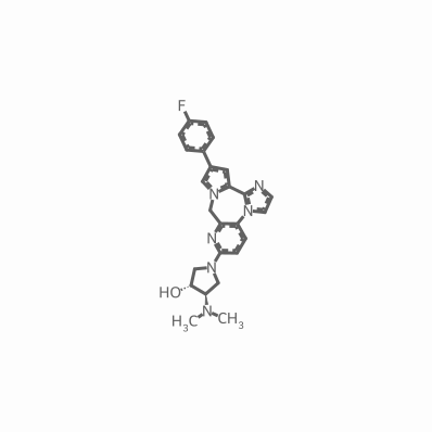 CN(C)[C@@H]1CN(c2ccc3c(n2)Cn2cc(-c4ccc(F)cc4)cc2-c2nccn2-3)C[C@H]1O